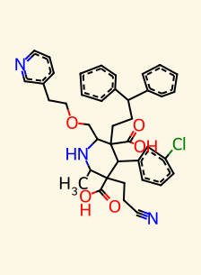 CC1NC(COCCc2cccnc2)C(CCC(c2ccccc2)c2ccccc2)(C(=O)O)C(c2cccc(Cl)c2)C1(CCC#N)C(=O)O